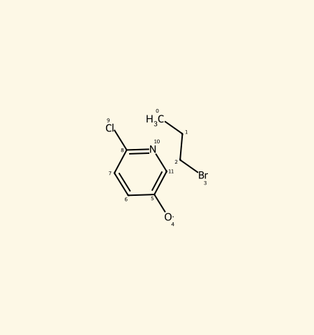 CCCBr.[O]c1ccc(Cl)nc1